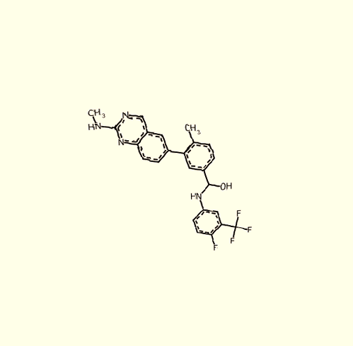 CNc1ncc2cc(-c3cc(C(O)Nc4ccc(F)c(C(F)(F)F)c4)ccc3C)ccc2n1